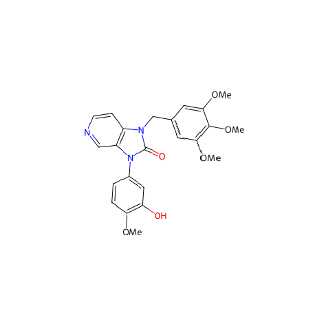 COc1ccc(-n2c(=O)n(Cc3cc(OC)c(OC)c(OC)c3)c3ccncc32)cc1O